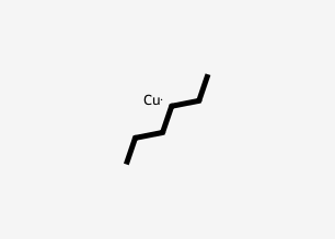 CCCCCC.[Cu]